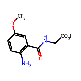 Nc1ccc(OC(F)(F)F)cc1C(=O)NCC(=O)O